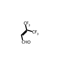 O=CC=C(C(F)(F)F)C(F)(F)F